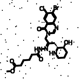 COC(=O)CCCCC(=O)N/N=C(/C[C@H]1NCCC[C@@H]1O)Cn1cnc2cc(Br)c(Cl)cc2c1=O